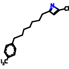 CC1=CC(CCCCCCCc2ccc(C)cc2)=N1